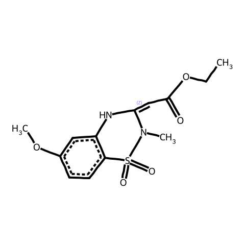 CCOC(=O)/C=C1/Nc2cc(OC)ccc2S(=O)(=O)N1C